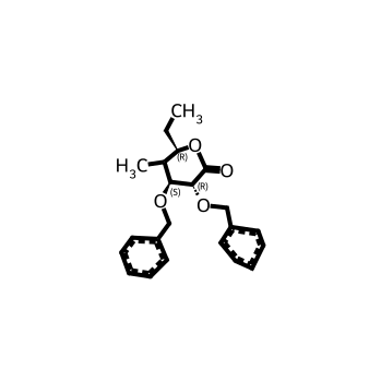 CC[C@H]1OC(=O)[C@H](OCc2ccccc2)[C@@H](OCc2ccccc2)C1C